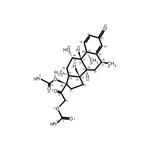 CCCC(=O)OCC(=O)[C@@]1(OC(=O)CCC)CC[C@H]2[C@@H]3C[C@H](C)C4=CC(=O)C=C[C@]4(C)[C@H]3[C@@H](O)C[C@@]21C